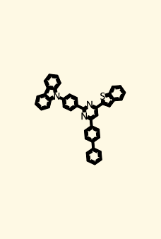 c1ccc(-c2ccc(-c3cc(-c4cc5ccccc5s4)nc(-c4ccc(-n5c6ccccc6c6ccccc65)cc4)n3)cc2)cc1